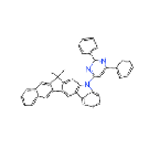 CC1(C)c2cc3ccccc3cc2-c2cc3c4ccccc4n(-c4cc(-c5ccccc5)nc(-c5ccccc5)n4)c3cc21